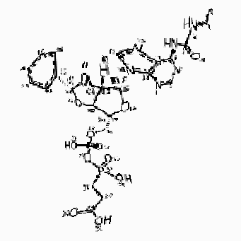 CCNC(=O)Nc1ncnc2c1ncn2[C@@H]1O[C@H](COP(=O)(O)OP(=O)(O)CCC(=O)O)C2O[C@H](c3ccccc3)O[C@@H]21